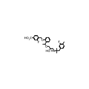 Cc1ccc(CC(C)(C)NC[C@H](O)COC(C)c2ccccc2OCc2ccc(C(=O)O)cc2F)cc1F